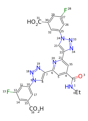 CCNC(=O)c1cc(-c2cn(-c3cc(F)cc(C(=O)O)c3)nn2)nc(-c2cn(-c3cc(F)cc(C(=O)O)c3)nn2)c1